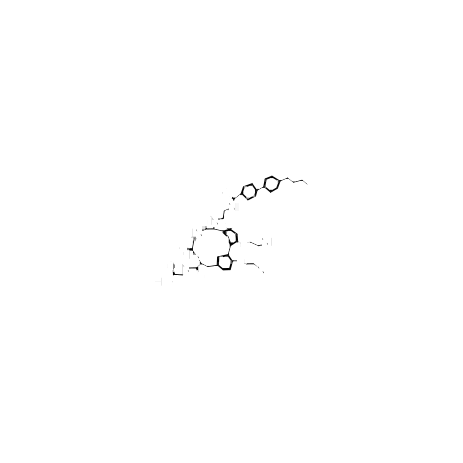 CCCCc1ccc(-c2ccc(C(=O)NCC(=O)N(C)C3C(=O)N[C@@H](C)C(=O)NC(C(=O)NCC(=O)O)Cc4ccc(OCCN)c(c4)-c4cc3ccc4OCCN)cc2)cc1